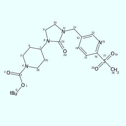 CC(C)(C)OC(=O)N1CCC(N2CCN(Cc3ccc(S(C)(=O)=O)nc3)C2=O)CC1